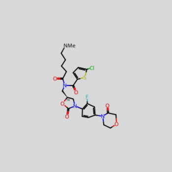 CNCCCCC(=O)N(C[C@H]1CN(c2ccc(N3CCOCC3=O)cc2F)C(=O)O1)C(=O)c1ccc(Cl)s1